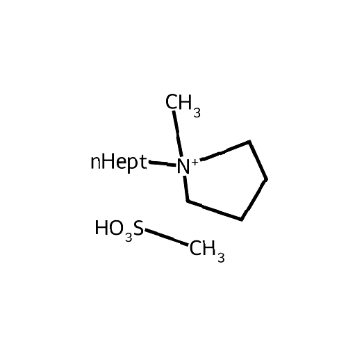 CCCCCCC[N+]1(C)CCCC1.CS(=O)(=O)O